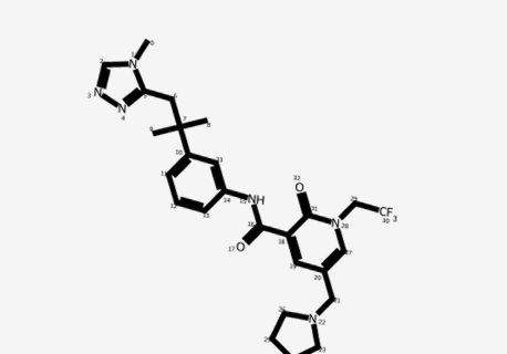 Cn1cnnc1CC(C)(C)c1cccc(NC(=O)c2cc(CN3CCCC3)cn(CC(F)(F)F)c2=O)c1